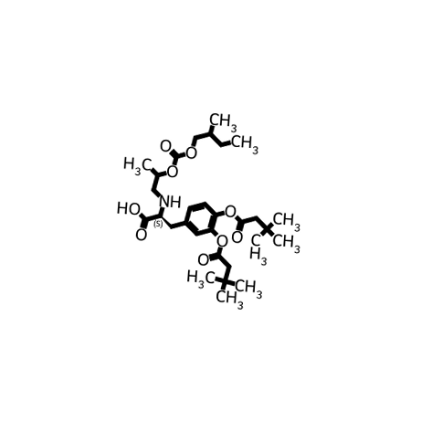 CCC(C)COC(=O)OC(C)CN[C@@H](Cc1ccc(OC(=O)CC(C)(C)C)c(OC(=O)CC(C)(C)C)c1)C(=O)O